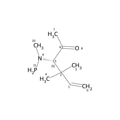 C=CC(C)(C)[C@@H](C(C)=O)N(C)P